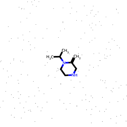 C=C1CNCCN1C(C)C